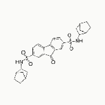 O=C1c2cc(S(=O)(=O)NC3CC4CCC3C4)ccc2-c2ccc(S(=O)(=O)NC3CC4CCC3C4)cc21